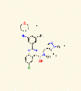 CCn1ncc(CN(C)C(O)c2nc(-c3cc(C)cc(NC4CCOCC4)c3)nc3ccc(Cl)cc23)c1C